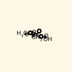 COc1ccc2oc(C(Nc3ccc(C(=O)O)cc3)C3CCCCC3)c(C)c2c1